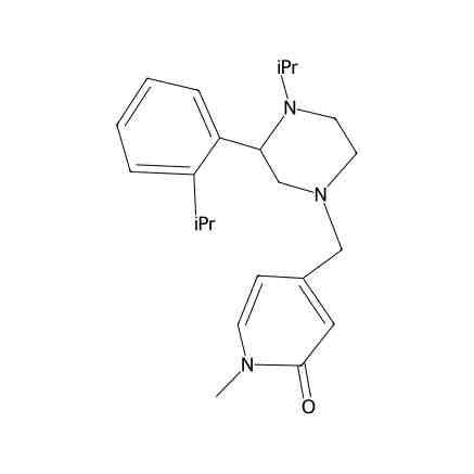 CC(C)c1ccccc1C1CN(Cc2ccn(C)c(=O)c2)CCN1C(C)C